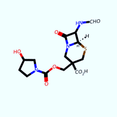 O=CNC1C(=O)N2CC(COC(=O)N3CCC(O)C3)(C(=O)O)CS[C@H]12